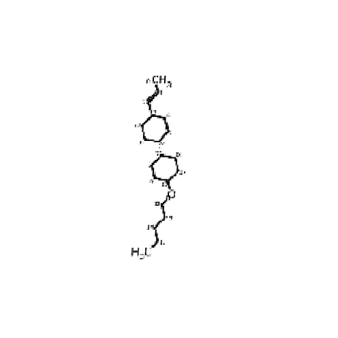 C/C=C/[C@H]1CC[C@H](C2CCC(OCCCCC)CC2)CC1